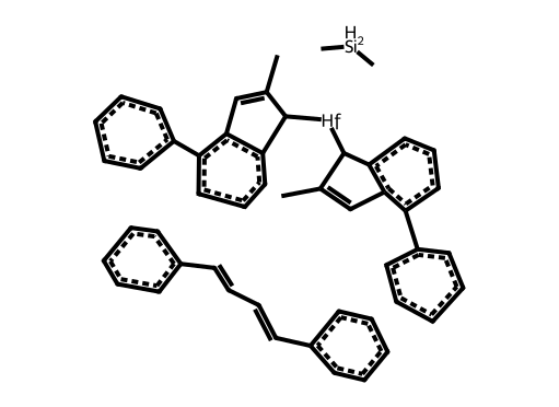 C(C=Cc1ccccc1)=Cc1ccccc1.CC1=Cc2c(-c3ccccc3)cccc2[CH]1[Hf][CH]1C(C)=Cc2c(-c3ccccc3)cccc21.C[SiH2]C